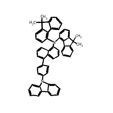 CC1(C)c2ccccc2-c2c(N(c3cccc4c3-c3ccccc3C4(C)C)c3cccc4c(-c5ccc(-n6c7ccccc7c7ccccc76)cc5)cccc34)cccc21